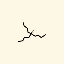 CCCC[C]([Zr])(CCCC)CCCC